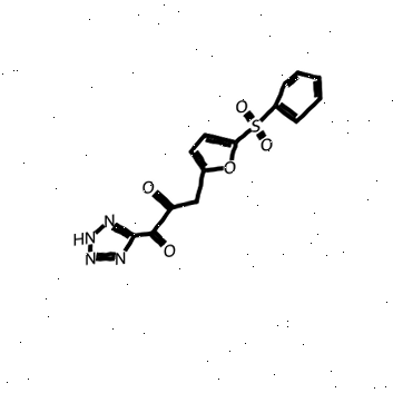 O=C(Cc1ccc(S(=O)(=O)c2ccccc2)o1)C(=O)c1nn[nH]n1